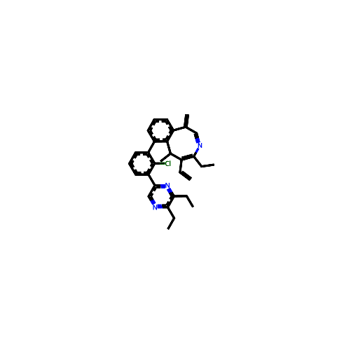 C=C/C1=C(CC)/N=C\C(=C)c2cccc(-c3cccc(-c4cnc(CC)c(CC)n4)c3Cl)c2C1C